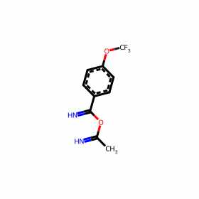 CC(=N)OC(=N)c1ccc(OC(F)(F)F)cc1